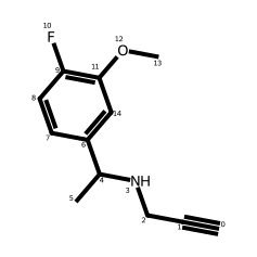 C#CCNC(C)c1ccc(F)c(OC)c1